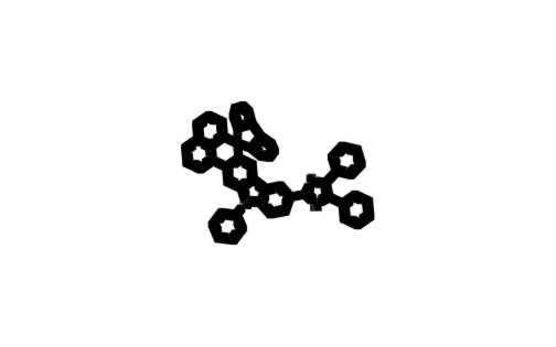 c1ccc(-c2nc(-c3ccc4c(c3)c3cc5c(cc3n4-c3ccccc3)-c3cccc4cccc(c34)C53c4ccccc4-c4ccccc43)sc2-c2ccccc2)cc1